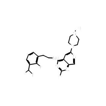 CN1CCN(c2cc3c(NCCc4cccc(C(F)F)c4F)nc(Cl)nc3cn2)CC1